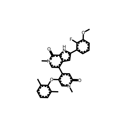 COc1cccc(-c2cc3c(-c4cc(=O)n(C)cc4Oc4c(C)cccc4C)cn(C)c(=O)c3[nH]2)c1F